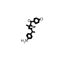 Cc1cc(C(C)c2ccc(N)cc2)n(C)c1C(=O)c1ccc(Cl)cc1